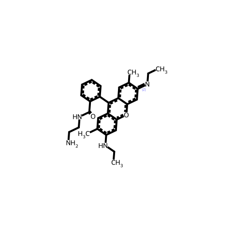 CC/N=c1/cc2oc3cc(NCC)c(C)cc3c(-c3ccccc3C(=O)NCCN)c-2cc1C